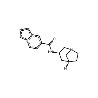 O=C(N[C@@H]1C[C@H]2CCN(C2)C1)c1ccn2cncc2c1